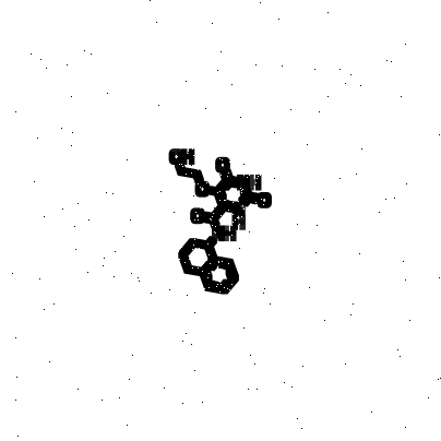 O=C(NC1CCCc2ccccc21)c1[nH]c(=O)[nH]c(=O)c1OCCO